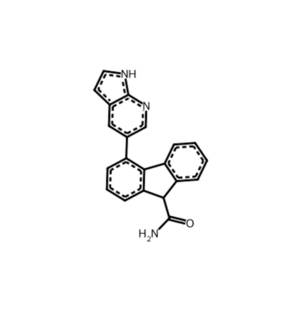 NC(=O)C1c2ccccc2-c2c(-c3cnc4[nH]ccc4c3)cccc21